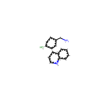 Cl.NCc1ccccc1.c1ccc2ncccc2c1